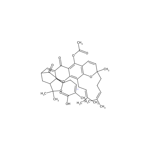 CC(=O)Oc1c2c(c(CC=C(C)C)c3c1C(=O)C1=CC4CC5C(C)(C)OC(C/C=C(/C)C(=O)O)(C4=O)C15O3)OC(C)(CCC=C(C)C)C=C2